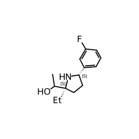 CC[C@@]1(C(C)O)CC[C@@H](c2cccc(F)c2)N1